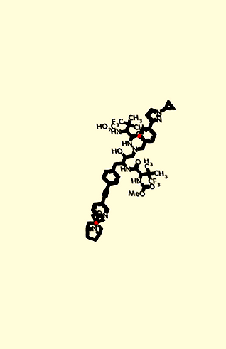 COC(=O)NC(C(=O)NC(Cc1ccc(C#Cc2ccc(N3CC4CCC(C3)N4C3COC3)nc2)cc1)C(O)CN(Cc1ccc(-c2ccn(C3CC3)n2)cc1)NC(=O)C(NC(=O)O)C(C)(C)C(F)(F)F)C(C)(C)C(F)(F)F